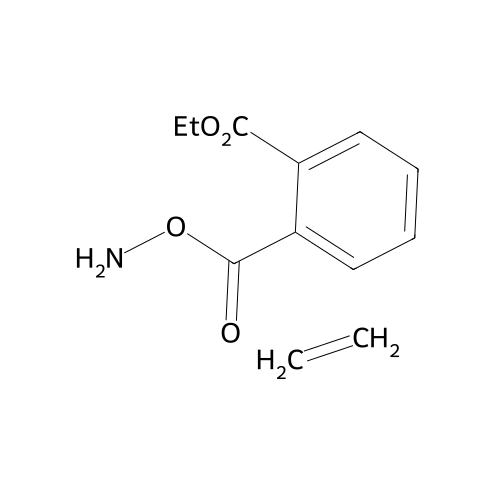 C=C.CCOC(=O)c1ccccc1C(=O)ON